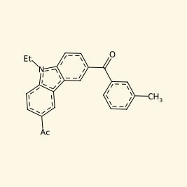 CCn1c2ccc(C(C)=O)cc2c2cc(C(=O)c3cccc(C)c3)ccc21